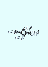 O=C(O)CNCCN1CCN(CC(=O)O)CCN(CCN(CC(=O)O)CC(=O)O)CCN(CC(=O)O)CC1